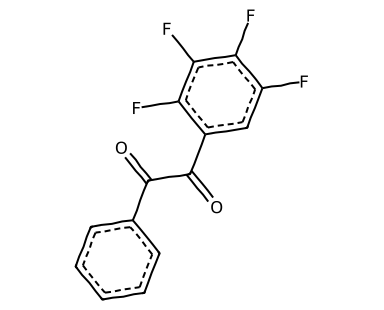 O=C(C(=O)c1cc(F)c(F)c(F)c1F)c1ccccc1